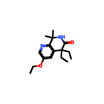 CCOc1cnc2c(c1)C(CC)(CC)C(=O)NC2(C)C